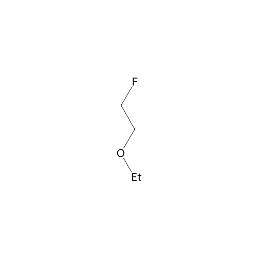 [CH2]COCCF